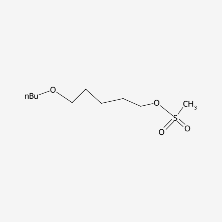 CCCCOCCCCCOS(C)(=O)=O